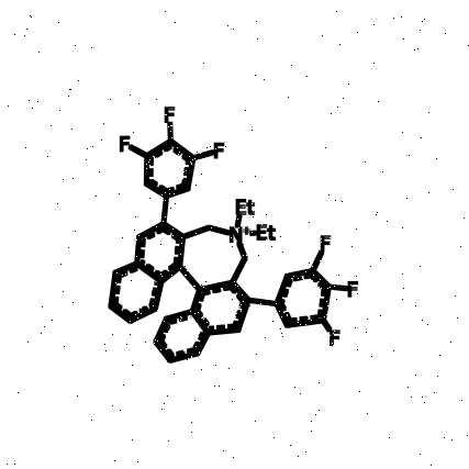 CC[N+]1(CC)Cc2c(-c3cc(F)c(F)c(F)c3)cc3ccccc3c2-c2c(c(-c3cc(F)c(F)c(F)c3)cc3ccccc23)C1